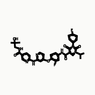 CC(C)n1cc(C(=O)Nc2ccc(Oc3ccnc(Nc4ccc(C(=O)NCC(C)(C)O)cn4)c3)c(F)c2)c(=O)n(-c2ccc(F)cc2)c1=O